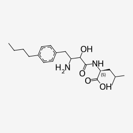 CCCCc1ccc(CC(N)C(O)C(=O)N[C@@H](CC(C)C)C(=O)O)cc1